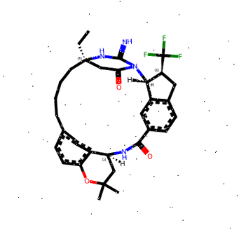 CC[C@]12CCCCc3ccc4c(c3)[C@H](CC(C)(C)O4)NC(=O)c3ccc4c(c3)[C@@H]([C@@H](C(F)(F)F)C4)N(C(=N)N1)C(=O)C2